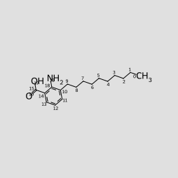 CCCCCCCCCCc1cccc(C(=O)O)c1N